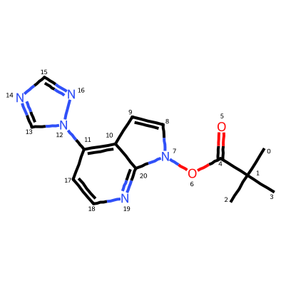 CC(C)(C)C(=O)On1ccc2c(-n3cncn3)ccnc21